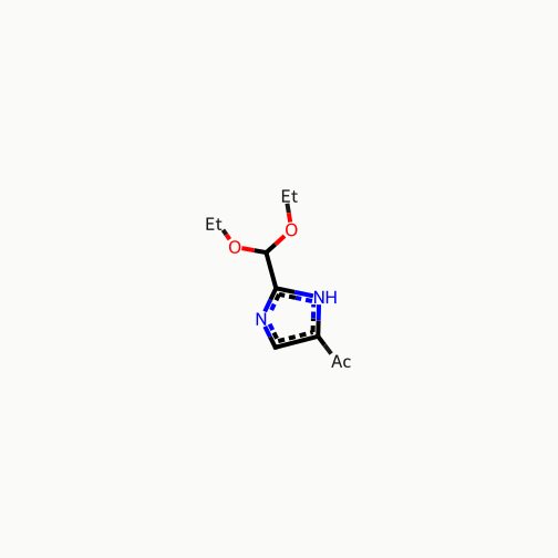 CCOC(OCC)c1ncc(C(C)=O)[nH]1